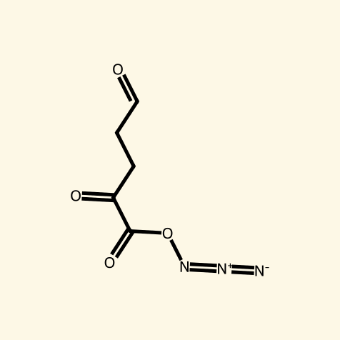 [N-]=[N+]=NOC(=O)C(=O)CCC=O